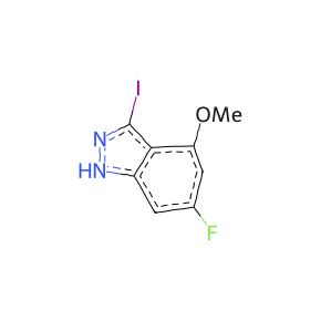 COc1cc(F)cc2[nH]nc(I)c12